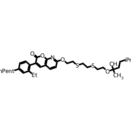 CCCCCc1ccc(-c2cc3ccc(OCCSCCSCCOC(C)(C)CCC(C)C)nc3oc2=O)c(CC)c1